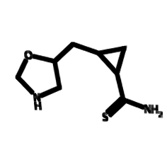 NC(=S)C1CC1CC1CNCO1